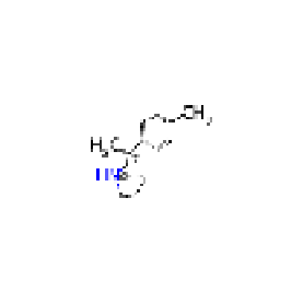 Cc1ccc([C@H](C)[C@@H]2CCCN2)cc1